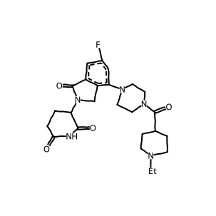 CCN1CCC(C(=O)N2CCN(c3cc(F)cc4c3CN(C3CCC(=O)NC3=O)C4=O)CC2)CC1